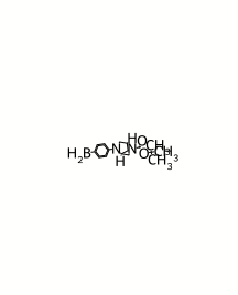 Bc1ccc(N2C[C@@H]3C[C@H]2CN3C(=O)OC(C)(C)C)cc1